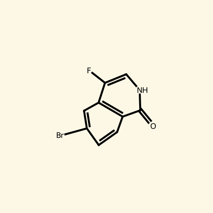 O=c1[nH]cc(F)c2cc(Br)ccc12